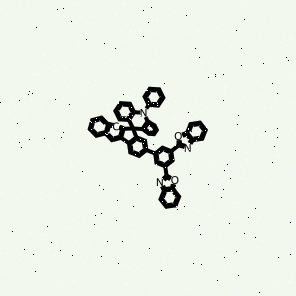 c1ccc(N2c3ccccc3C3(c4cc(-c5cc(-c6nc7ccccc7o6)cc(-c6nc7ccccc7o6)c5)ccc4-c4cc5ccccc5cc43)c3ccccc32)cc1